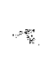 NCC(=O)NCC(=O)NCC(=O)NC(Cc1ccc([N+](=O)[O-])cc1)C(=O)O